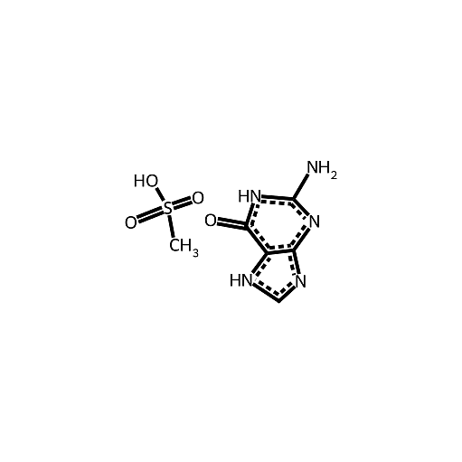 CS(=O)(=O)O.Nc1nc2nc[nH]c2c(=O)[nH]1